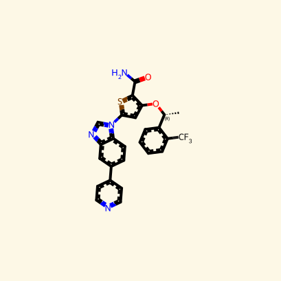 C[C@@H](Oc1cc(-n2cnc3cc(-c4ccncc4)ccc32)sc1C(N)=O)c1ccccc1C(F)(F)F